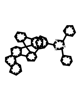 c1ccc(-c2nc(-c3ccccc3)nc(-c3cccc(-c4cccc5c4C4(c6ccccc6-c6ccccc64)c4ccc6ccc7ccccc7c6c4-5)c3)n2)cc1